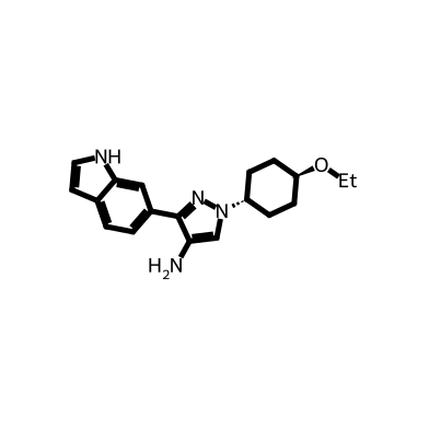 CCO[C@H]1CC[C@H](n2cc(N)c(-c3ccc4cc[nH]c4c3)n2)CC1